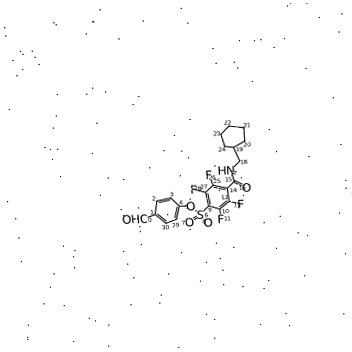 O=Cc1ccc(OS(=O)(=O)c2c(F)c(F)c(C(=O)NCC3CCCCC3)c(F)c2F)cc1